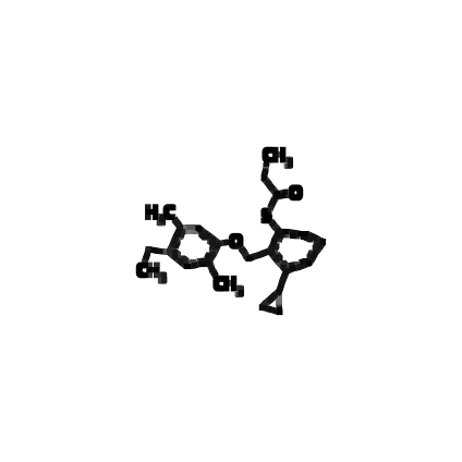 CCC(=O)Sc1cccc(C2CC2)c1COc1cc(C)c(CC)cc1C